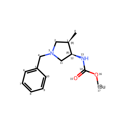 C[C@@H]1CN(Cc2ccccc2)C[C@@H]1NC(=O)OC(C)(C)C